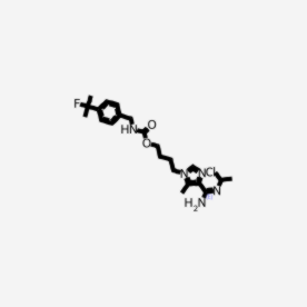 Cc1c(/C(N)=N\C(C)Cl)ncn1CCCCOC(=O)NCc1ccc(C(C)(C)F)cc1